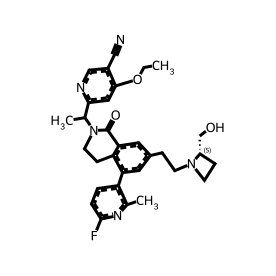 CCOc1cc(C(C)N2CCc3c(cc(CCN4CC[C@H]4CO)cc3-c3ccc(F)nc3C)C2=O)ncc1C#N